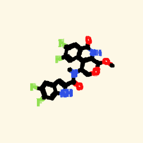 COC1OCC(N(C)C(=O)c2cc3cc(F)c(F)cc3[nH]2)c2c1[nH]c(=O)c1cc(F)c(F)cc21